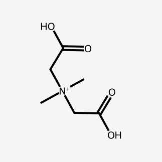 C[N+](C)(CC(=O)O)CC(=O)O